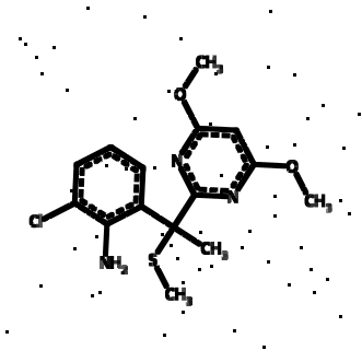 COc1cc(OC)nc(C(C)(SC)c2cccc(Cl)c2N)n1